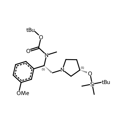 COc1cccc([C@@H](CN2CC[C@H](O[Si](C)(C)C(C)(C)C)C2)N(C)C(=O)OC(C)(C)C)c1